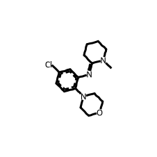 CN1CCCC/C1=N\c1cc(Cl)ccc1N1CCOCC1